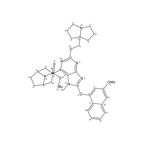 COc1cc(Oc2nc3nc(OCC45CCCN4CCC5)nc(N4CC5CCC(C4)N5C(=O)OC(C)(C)C)c3n2C)c2ccccc2c1